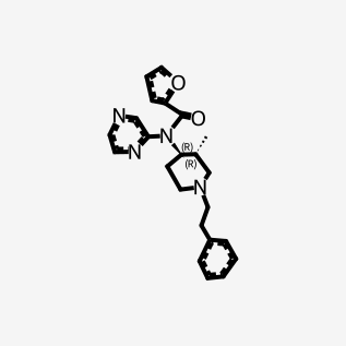 C[C@@H]1CN(CCc2ccccc2)CC[C@H]1N(C(=O)c1ccco1)c1cnccn1